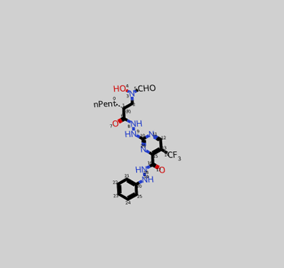 CCCCC[C@H](CN(O)C=O)C(=O)NNc1ncc(C(F)(F)F)c(C(=O)NNc2ccccc2)n1